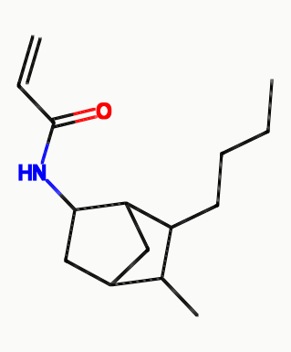 C=CC(=O)NC1CC2CC1C(CCCC)C2C